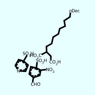 CCCCCCCCCCCCCCCCCCC(CC(=O)O)C(=O)O.O=Cc1ccc(S(=O)(=O)O)c([N+](=O)[O-])c1.O=S(=O)(O)c1ccncc1